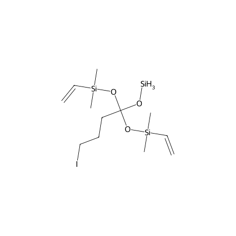 C=C[Si](C)(C)OC(CCCI)(O[SiH3])O[Si](C)(C)C=C